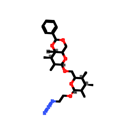 CC1[C@H](OCCN=[N+]=[N-])OC(CO[C@@H]2OC3COC(c4ccccc4)O[C@H]3[C@H](C)C2C)[C@@H](C)[C@@H]1C